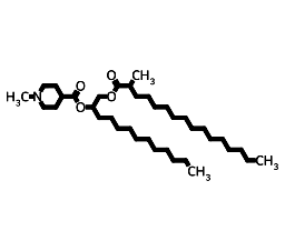 CCCCCCCCCCCCCCC(C)C(=O)OCC(CCCCCCCCCCC)OC(=O)C1CCN(C)CC1